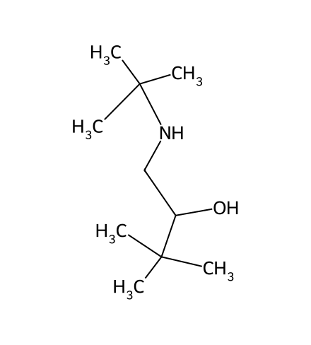 CC(C)(C)NCC(O)C(C)(C)C